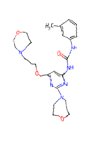 Cc1cccc(NC(=O)Nc2cc(OCCN3CCOCC3)nc(N3CCOCC3)n2)c1